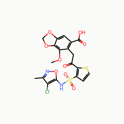 COc1c(CC(=O)c2sccc2S(=O)(=O)Nc2onc(C)c2Cl)c(C(=O)O)cc2c1OCO2